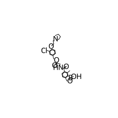 Cc1c(C(=O)NCC(=O)OCc2ccc(OCCN3CCCC3)c(Cl)c2)ccc2c1B(O)OC2